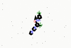 O=C(NC1(c2cccc(C(F)(F)F)c2)CC1)c1cc(N2CCC(N3CCCC3)CC2)cc(C(F)(F)F)c1